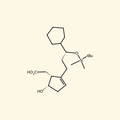 CC(C)(C)[Si](C)(C)O[C@H](CCC1=CC[C@H](O)[C@@H]1CC(=O)O)C1CCCCC1